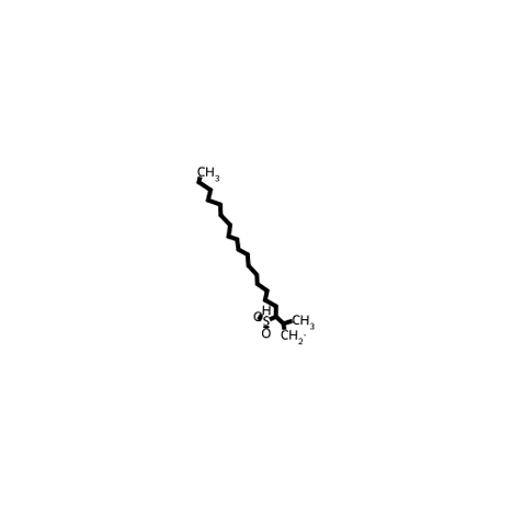 [CH2]C(C)C(CCCCCCCCCCCCCCCCC)[SH](=O)=O